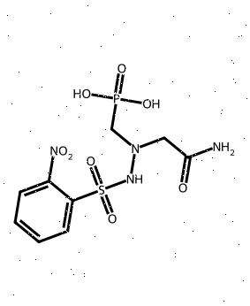 NC(=O)CN(CP(=O)(O)O)NS(=O)(=O)c1ccccc1[N+](=O)[O-]